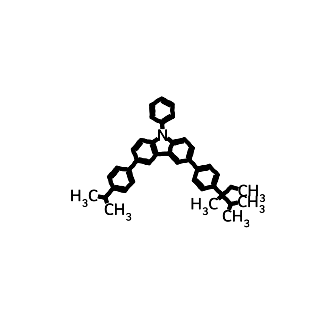 CCC(C)(c1ccc(-c2ccc3c(c2)c2cc(-c4ccc(C(C)C)cc4)ccc2n3-c2ccccc2)cc1)C(C)C